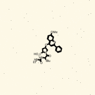 CCNC(=O)NC(C(=O)N1CC(Oc2cc(-c3ccccc3)nc3cc(OC)ccc23)CC1C(=O)O)C(C)(C)C